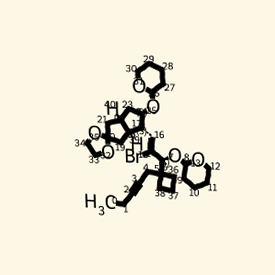 CCC#CCC1([C@H](OC2CCCCO2)C(Br)=C[C@@H]2[C@H]3CC4(C[C@H]3C[C@H]2OC2CCCCO2)OCCO4)CCC1